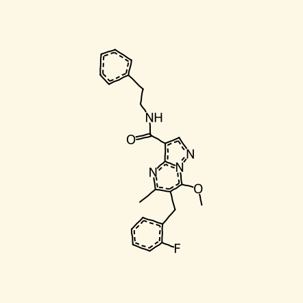 COc1c(Cc2ccccc2F)c(C)nc2c(C(=O)NCCc3ccccc3)cnn12